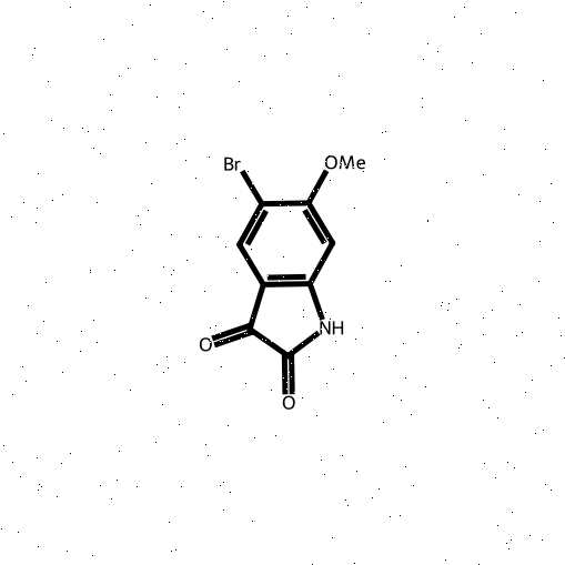 COc1cc2c(cc1Br)C(=O)C(=O)N2